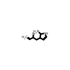 C=CC(Br)CC1C=CNC1N